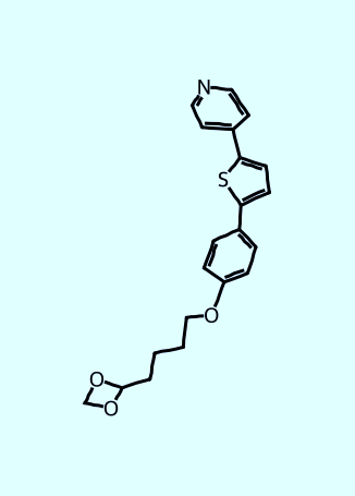 c1cc(-c2ccc(-c3ccc(OCCCCC4OCO4)cc3)s2)ccn1